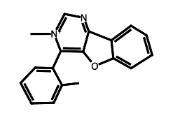 Cc1ccccc1-c1c2oc3ccccc3c2nc[n+]1C